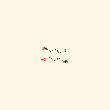 CCCCc1cc(O)c(C(C)(C)C)cc1Br